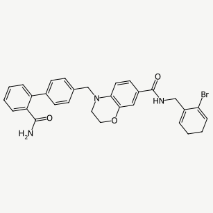 NC(=O)c1ccccc1-c1ccc(CN2CCOc3cc(C(=O)NCC4=CCCC=C4Br)ccc32)cc1